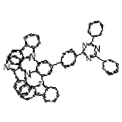 c1ccc(-c2nc(-c3ccccc3)nc(-c3ccc(-c4cc(-n5c6ccccc6c6ccccc65)c(-n5c6ccccc6c6ncccc65)c(-n5c6ccccc6c6ccccc65)c4)cc3)n2)cc1